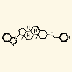 C[C@]12CCC(OCc3ccncc3)CC1=CC[C@@H]1[C@@H]2CC[C@]2(C)C(n3cnc4ccccc43)=CC[C@@H]12